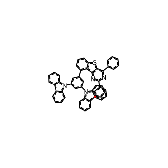 c1ccc(-c2nc(-c3ccccc3)c3sc4cccc(-c5cc(-n6c7ccccc7c7ccccc76)cc(-n6c7ccccc7c7ccccc76)c5)c4c3n2)cc1